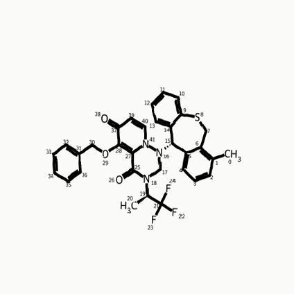 Cc1cccc2c1CSc1ccccc1[C@H]2N1CN([C@H](C)C(F)(F)F)C(=O)c2c(OCc3ccccc3)c(=O)ccn21